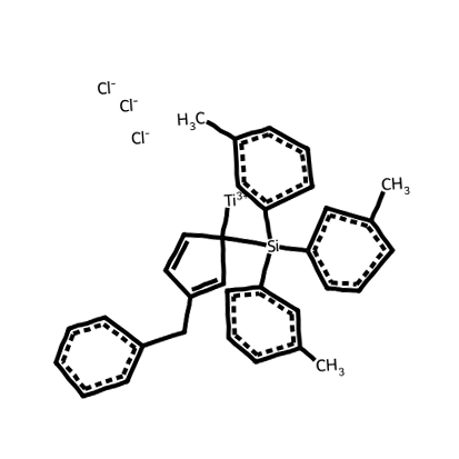 Cc1cccc([Si](c2cccc(C)c2)(c2cccc(C)c2)[C]2([Ti+3])C=CC(Cc3ccccc3)=C2)c1.[Cl-].[Cl-].[Cl-]